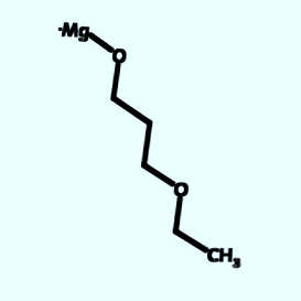 CCOCCC[O][Mg]